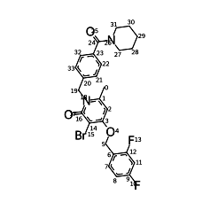 Cc1cc(OCc2ccc(F)cc2F)c(Br)c(=O)n1Cc1ccc(C(=O)N2CCCCC2)cc1